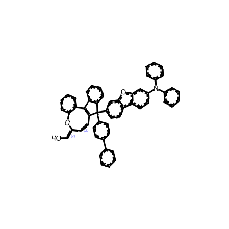 O/C=C1/C=C\C2=C(c3ccccc3O1)c1ccccc1C2(c1ccc(-c2ccccc2)cc1)c1ccc2c(c1)oc1cc(N(c3ccccc3)c3ccccc3)ccc12